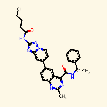 CCCCC(=O)Nc1nc2cc(-c3ccc4nc(C)nc(C(=O)N[C@@H](C)c5ccccc5)c4c3)ccn2n1